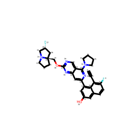 C#Cc1c(F)ccc2cc(O)cc(-c3cc4nc(OC[C@@]56CCCN5C[C@H](F)C6)ncc4c(N4CCCC4)n3)c12